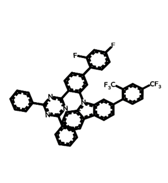 Fc1ccc(-c2ccc(-c3nc(-c4ccccc4)nc(-c4ccccc4)n3)c(-n3c4ccccc4c4ccc(-c5ccc(C(F)(F)F)cc5C(F)(F)F)cc43)c2)c(F)c1